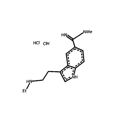 CCNCCc1c[nH]c2ccc(C(=N)NC)cc12.Cl.Cl